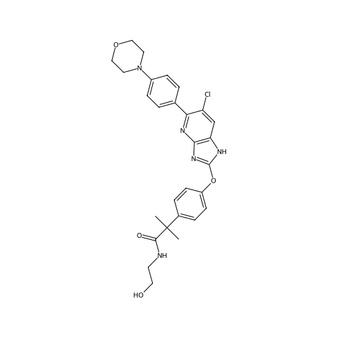 CC(C)(C(=O)NCCO)c1ccc(Oc2nc3nc(-c4ccc(N5CCOCC5)cc4)c(Cl)cc3[nH]2)cc1